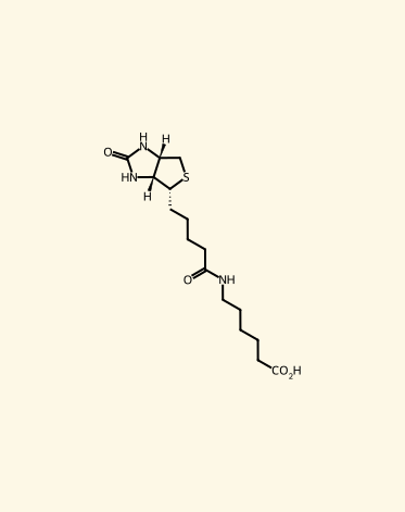 O=C(O)CCCCCNC(=O)CCCC[C@H]1SC[C@H]2NC(=O)N[C@H]21